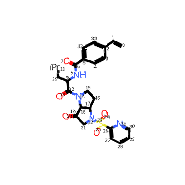 C=Cc1ccc(C(=O)NC(CC(C)C)C(=O)N2CCC3C2C(=O)CN3S(=O)(=O)c2ccccn2)cc1